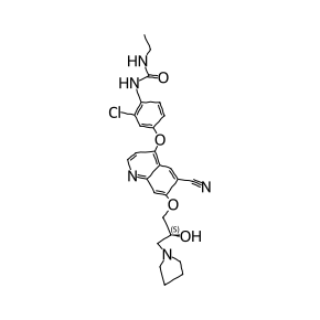 CCNC(=O)Nc1ccc(Oc2ccnc3cc(OC[C@@H](O)CN4CCCC4)c(C#N)cc23)cc1Cl